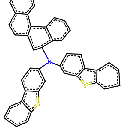 c1ccc2c(c1)ccc1cc(N(c3ccc4c(c3)sc3ccccc34)c3ccc4c(c3)sc3ccccc34)c3ccccc3c12